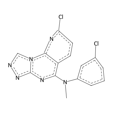 CN(c1cccc(Cl)c1)c1nc2nncn2c2nc(Cl)ccc12